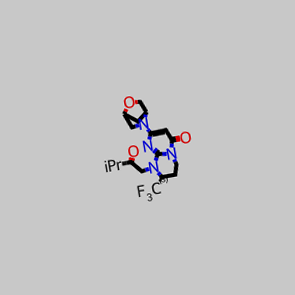 CC(C)C(=O)CN1c2nc(N3CC4CC3CO4)cc(=O)n2CC[C@H]1C(F)(F)F